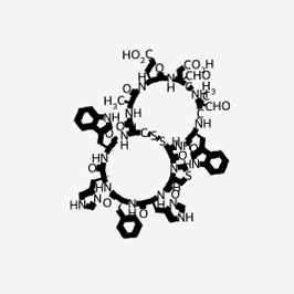 C[C@@H]1NC(=O)[C@@H]2CSS[C@H](NC(=O)[C@H](Cc3c[nH]c4ccccc34)NC[C@](C)(C=O)NC[C@](C=O)(CC(=O)O)NC(=O)[C@H](CCC(=O)O)NC1=O)C(=O)N1CSC[C@H]1C(=O)N[C@@H](Cc1c[nH]cn1)C(=O)N[C@H](Cc1ccccc1)C(=O)N[C@@H](Cc1c[nH]cn1)C(=O)N[C@@H](Cc1c[nH]c3ccccc13)C(=O)N2